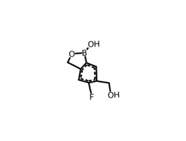 OCc1cc2c(cc1F)COB2O